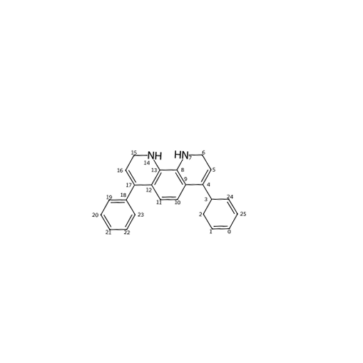 C1=CCC(C2=CCNc3c2ccc2c3NCC=C2c2ccccc2)C=C1